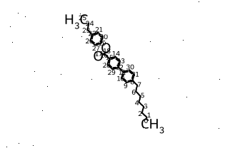 CCCCCCCCc1ccc(-c2ccc(C(=O)Oc3ccc(CCC)cc3)cc2)cc1